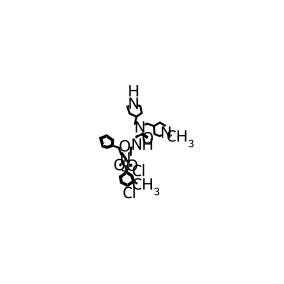 Cc1c(Cl)ccc(S(=O)(=O)N(CCc2ccccc2)CC(=O)NCC(=O)N(CC2CCNCC2)CC2CCN(C)CC2)c1Cl